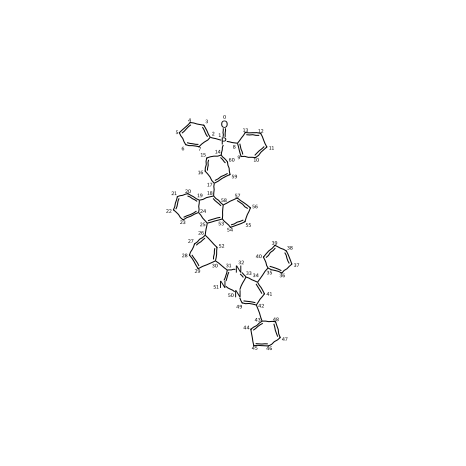 O=P(c1ccccc1)(c1ccccc1)c1ccc(-c2c3ccccc3c(-c3cccc(-c4nc5c(-c6ccccc6)cc(-c6ccccc6)cn5n4)c3)c3ccccc23)cc1